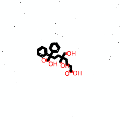 O=C(O)CCCC(CO)(CO)CCC(C(=O)O)(c1ccccc1)c1ccccc1